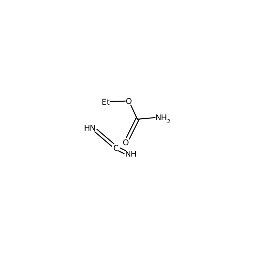 CCOC(N)=O.N=C=N